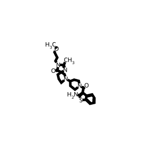 COCCCN1C(=O)C2(CCCN(C3CCN(C(=O)c4c(N)sc5ccccc45)CC3)C2)N=C1C